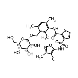 Cc1cc(C)c(NC(=O)c2sccc2S(=O)(=O)Nc2onc(C)c2Cl)c(C)c1CO[C@H]1O[C@H](CO)[C@@H](O)[C@H](O)[C@@H]1O